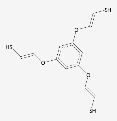 SC=COc1cc(OC=CS)cc(OC=CS)c1